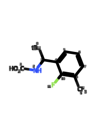 CC(C)(C)C(NC(=O)O)c1cccc(C(F)(F)F)c1F